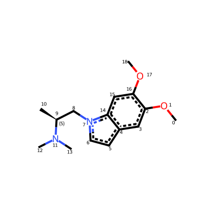 COc1cc2ccn(C[C@H](C)N(C)C)c2cc1OC